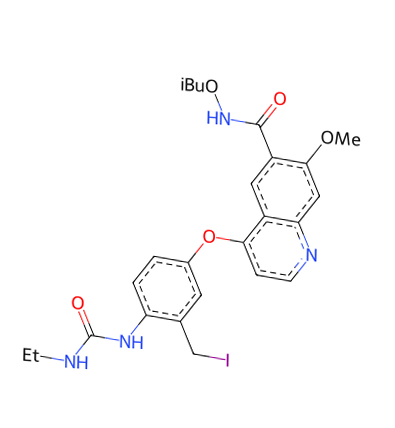 CCNC(=O)Nc1ccc(Oc2ccnc3cc(OC)c(C(=O)NOCC(C)C)cc23)cc1CI